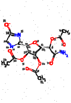 CC(=O)OC(C(N)=O)[C@H]1O[C@@H]([C+]2N=CC([O-])=N2)[C@H](OC(C)=O)[C@@H]1OC(C)=O